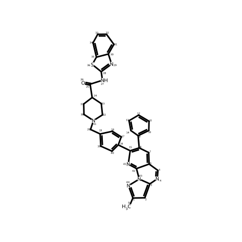 Cc1cc2ncc3cc(-c4ccccc4)c(-c4ccc(CN5CCC(C(=O)Nc6nc7ccccc7s6)CC5)cc4)nc3n2n1